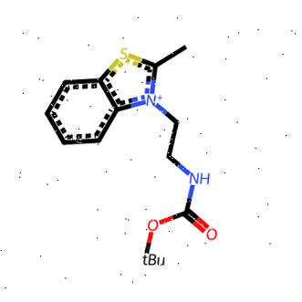 Cc1sc2ccccc2[n+]1CCNC(=O)OC(C)(C)C